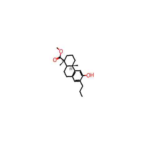 CCCc1cc2c(cc1O)[C@@]1(C)CCC[C@@](C)(C(=O)OC)C1CC2